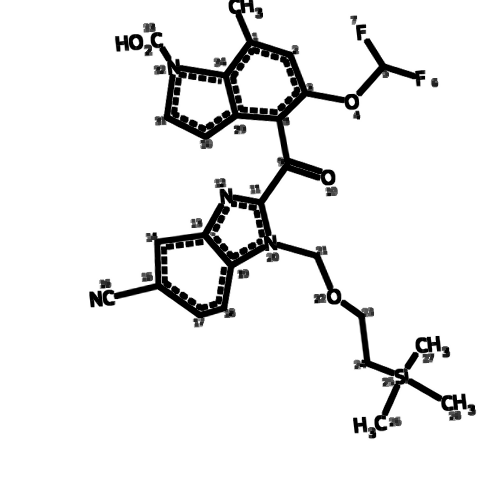 Cc1cc(OC(F)F)c(C(=O)c2nc3cc(C#N)ccc3n2COCC[Si](C)(C)C)c2ccn(C(=O)O)c12